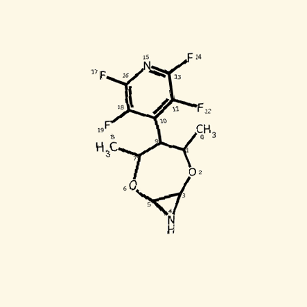 CC1OC2NC2OC(C)C1c1c(F)c(F)nc(F)c1F